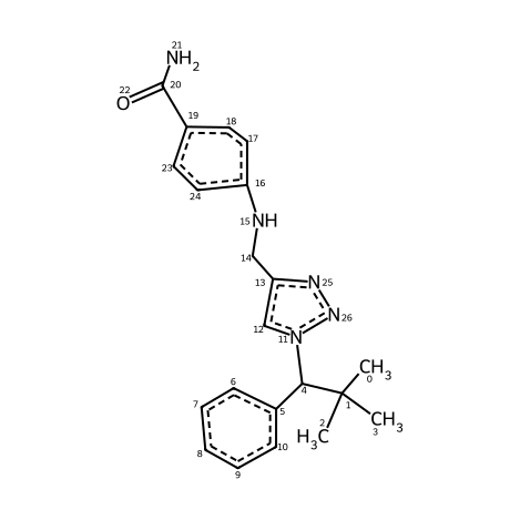 CC(C)(C)C(c1ccccc1)n1cc(CNc2ccc(C(N)=O)cc2)nn1